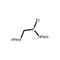 CCCCCCP(CC)CCCCC